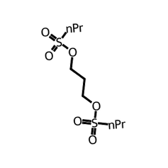 CCCS(=O)(=O)OCCCOS(=O)(=O)CCC